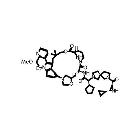 CCn1c(-c2cccnc2[C@H](C)OC)c2c3cc(ccc31)N1CCO[C@@H](C[C@H](NC(=O)[C@H](C3CCCC3)N3CC[C@]4(CCN(C(=O)[C@@H]5N[C@@H]5C5CC5)C4)C3)C(=O)N3CCC[C@H](N3)C(=O)OCC(C)(C)C2)C1